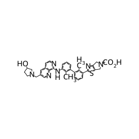 Cc1c(Nc2nccc3cc(CN4CCC(O)C4)cnc23)cccc1-c1cccc(-c2nc3c(s2)CN(C(=O)O)C3)c1C